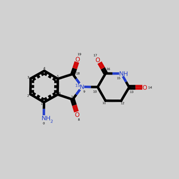 Nc1cccc2c1C(=O)[15N](C1CCC(=O)NC1=O)C2=O